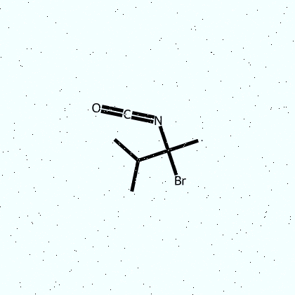 [CH2]C(Br)(N=C=O)C(C)C